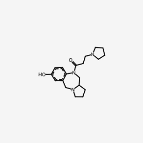 O=C(CCN1CCCC1)N1CC2CCCN2Cc2cc(O)ccc21